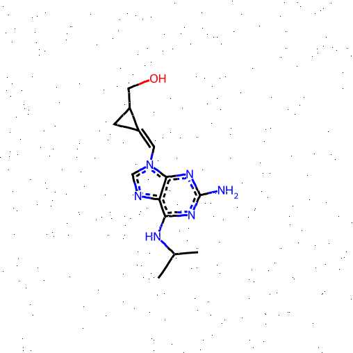 CC(C)Nc1nc(N)nc2c1ncn2C=C1CC1CO